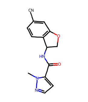 Cn1nccc1C(=O)NC1COc2cc(C#N)ccc21